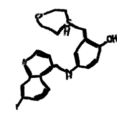 Oc1ccc(Nc2ccnc3cc(I)ccc23)cc1C[SH]1CCOCC1